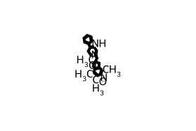 Cc1c(C)c2c(c(C)c1N=O)CC(C)(CN1CCc3c([nH]c4ccccc34)C1)O2